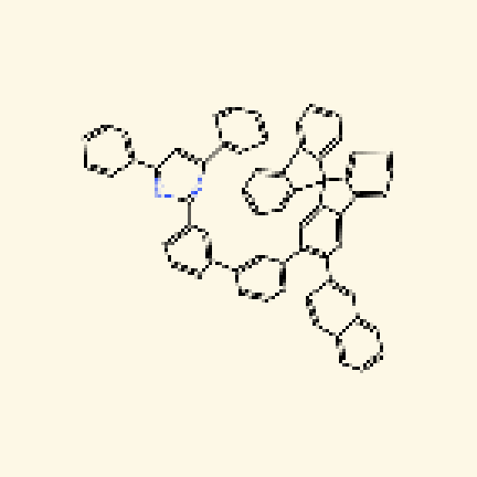 c1ccc(-c2cc(-c3ccccc3)nc(-c3cccc(-c4cccc(-c5cc6c(cc5-c5ccc7ccccc7c5)-c5ccccc5C65c6ccccc6-c6ccccc65)c4)c3)n2)cc1